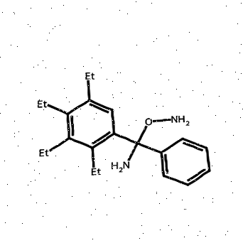 CCc1cc(C(N)(ON)c2ccccc2)c(CC)c(CC)c1CC